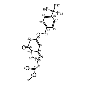 COC(=O)CN1C=C2C=C(OCc3ccc(C(F)(F)F)cc3)CC(=O)C2C1